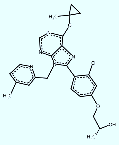 Cc1ccnc(Cn2c(-c3ccc(OC[C@@H](C)O)cc3Cl)nc3c(OC4(C)CC4)ncnc32)c1